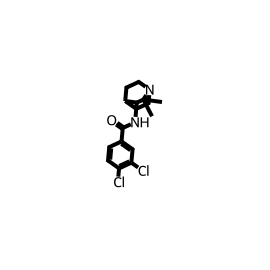 CC1(C)C(NC(=O)c2ccc(Cl)c(Cl)c2)C2CCN1CC2